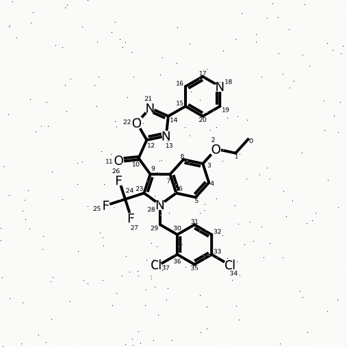 CCOc1ccc2c(c1)c(C(=O)c1nc(-c3ccncc3)no1)c(C(F)(F)F)n2Cc1ccc(Cl)cc1Cl